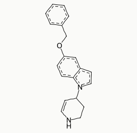 C1=CC(n2ccc3cc(OCc4ccccc4)ccc32)CCN1